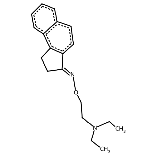 CCN(CC)CCO/N=C1\CCc2c1ccc1ccccc21